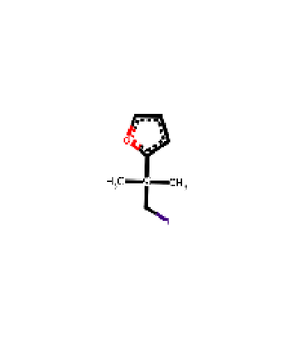 C[Si](C)(CI)c1ccco1